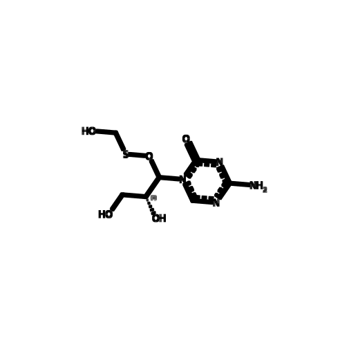 Nc1ncn(C(OSCO)[C@H](O)CO)c(=O)n1